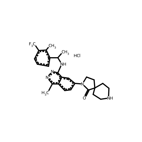 Cc1c(C(C)Nc2nnc(C)c3ccc(N4CCC5(CCNCC5)C4=O)cc23)cccc1C(F)(F)F.Cl